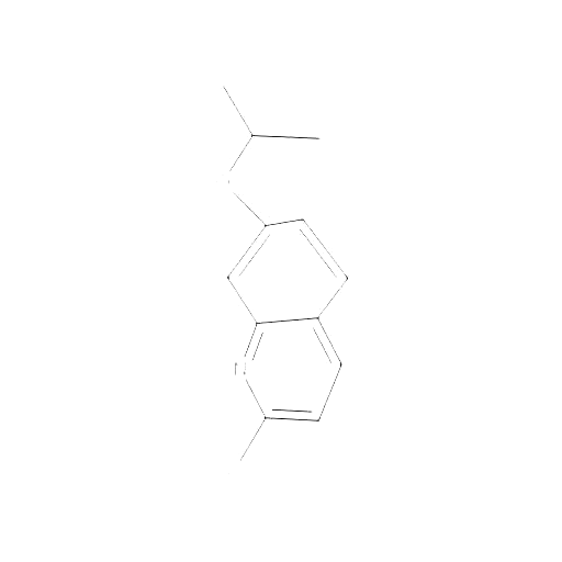 CC(C)Oc1ccc2ccc(Cl)nc2c1